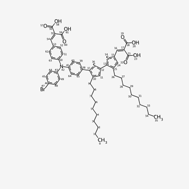 CCCCCCCCCCc1cc(-c2sc(C=C(C(=O)O)C(=O)O)cc2CCCCCCCCCC)sc1-c1ccc(N(c2ccc(Br)cc2)c2ccc(C=C(C(=O)O)C(=O)O)cc2)cc1